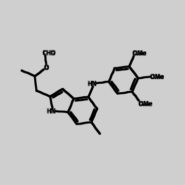 COc1cc(Nc2cc(C)cc3[nH]c(CC(C)OC=O)cc23)cc(OC)c1OC